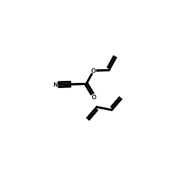 C=CC=C.C=COC(=O)C#N